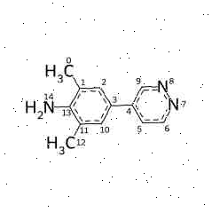 Cc1cc(-c2ccnnc2)cc(C)c1N